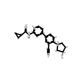 N#Cc1cc(-c2ccnc(NC(=O)C3CC3)c2)ccc1N1CC[C@H](F)C1